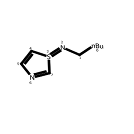 CCCCCN=S1C=CN=C1